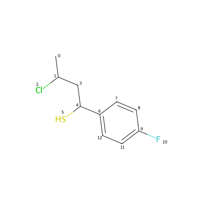 CC(Cl)CC(S)c1ccc(F)cc1